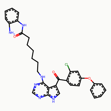 Nc1ccccc1NC(=O)CCCCCCNc1ncnc2[nH]cc(C(=O)c3ccc(Oc4ccccc4)cc3Cl)c12